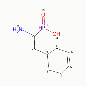 NC(CC1CC=CCC1)[PH](=O)O